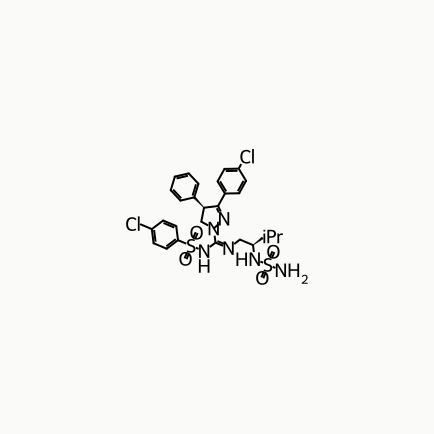 CC(C)[C@H](C/N=C(/NS(=O)(=O)c1ccc(Cl)cc1)N1C[C@@H](c2ccccc2)C(c2ccc(Cl)cc2)=N1)NS(N)(=O)=O